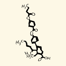 CCCCC(C)c1c(-c2ccc(OC(=O)c3ccc(OC(=O)CCC)cc3)cc2)ccc(C(=O)O)c1CC